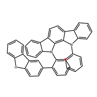 c1ccc(-n2c3ccccc3c3ccc4c5ccccc5n(-c5ccccc5-c5ccc6oc7ccccc7c6c5)c4c32)cc1